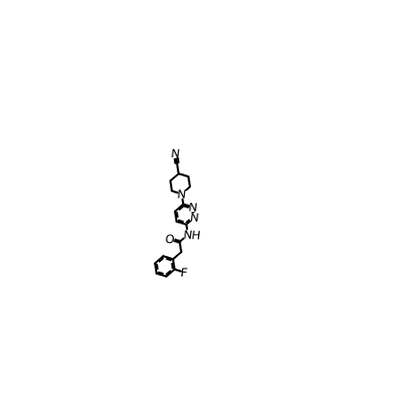 N#CC1CCN(c2ccc(NC(=O)Cc3ccccc3F)nn2)CC1